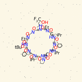 CC[C@H]1C(=O)N[C@@H](CCCC(O)C(F)(F)F)C(=O)N(C)CC(=O)N(C)[C@@H](CC)C(=O)N[C@@H](COC(C)(C)C)C(=O)N(C)[C@@H](Cc2ccccc2)C(=O)N(C)[C@@H](CC(C)C)C(=O)N[C@H](C(=O)N2CCCCC2)CC(=O)N[C@H](CC(C)C)C(=O)N(C)[C@@H](Cc2ccccc2)C(=O)N[C@@H](CC(C)C)CC(=O)N1C